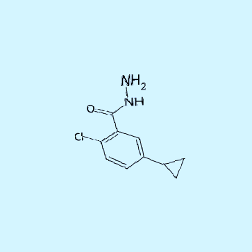 NNC(=O)c1cc(C2CC2)ccc1Cl